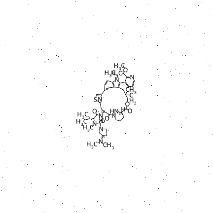 CCn1c(-c2cccnc2[C@H](C)OC)c2c3cc(ccc31)-c1csc(n1)C[C@H](NC(=O)C(C(C)C)N(C)C(=O)N1CC[C@@H](N(C)C)C1)C(=O)N1CCC[C@H](N1)C(=O)OCC(C)(C)C2